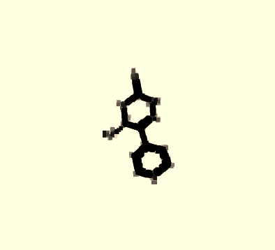 C[C@@H]1SC(=O)NN=C1c1ccncc1